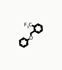 FC(F)(F)c1ccccc1COc1[c]cccc1